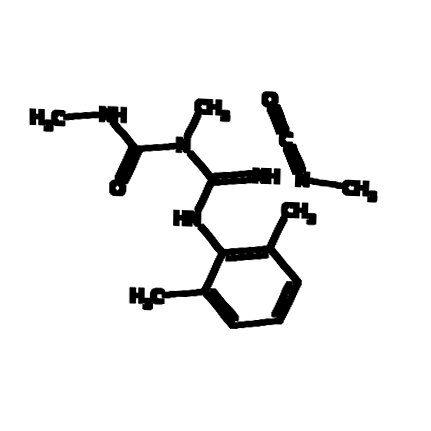 CN=C=O.CNC(=O)N(C)C(=N)Nc1c(C)cccc1C